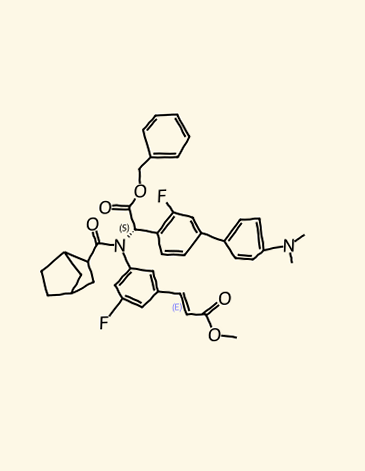 COC(=O)/C=C/c1cc(F)cc(N(C(=O)C2CC3CCC2C3)[C@H](C(=O)OCc2ccccc2)c2ccc(-c3ccc(N(C)C)cc3)cc2F)c1